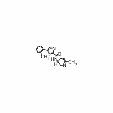 Cc1ccccc1-c1cnc(C(=O)N[C@H]2CN3CCC2CC3C)s1